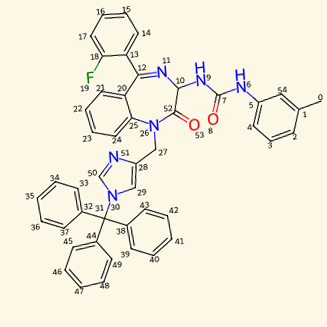 Cc1cccc(NC(=O)NC2N=C(c3ccccc3F)c3ccccc3N(Cc3cn(C(c4ccccc4)(c4ccccc4)c4ccccc4)cn3)C2=O)c1